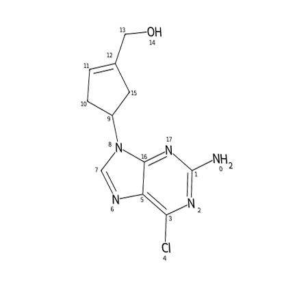 Nc1nc(Cl)c2ncn(C3CC=C(CO)C3)c2n1